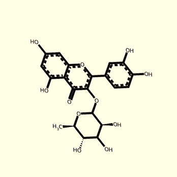 C[C@H]1OC(Oc2c(-c3ccc(O)c(O)c3)oc3cc(O)cc(O)c3c2=O)[C@@H](O)C(O)[C@@H]1O